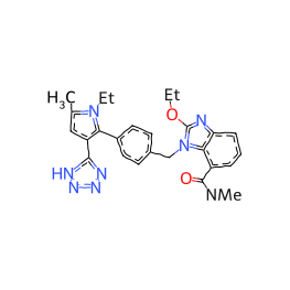 CCOc1nc2cccc(C(=O)NC)c2n1Cc1ccc(-c2c(-c3nnn[nH]3)cc(C)n2CC)cc1